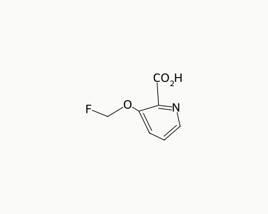 O=C(O)c1ncccc1OCF